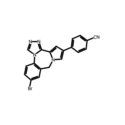 N#Cc1ccc(-c2cc3n(c2)Cc2cc(Br)ccc2-n2cnnc2-3)cc1